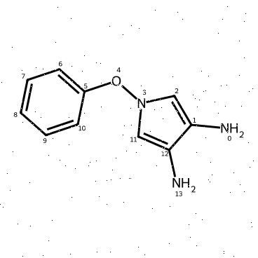 Nc1cn(Oc2ccccc2)cc1N